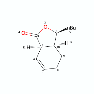 CCCC[C@@H]1OC(=O)[C@@H]2C=CCC[C@H]12